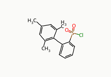 Cc1cc(C)c(-c2ccccc2S(=O)(=O)Cl)c(C)c1